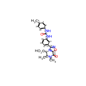 Cc1ccc(NC(=O)Nc2cccc(-c3noc(C(=O)N(C)C(C)CC(=O)O)n3)c2)cc1